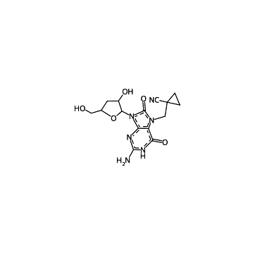 N#CC1(Cn2c(=O)n(C3OC(CO)CC3O)c3nc(N)[nH]c(=O)c32)CC1